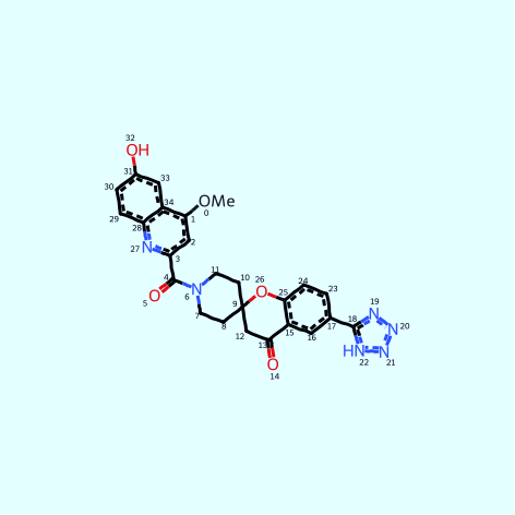 COc1cc(C(=O)N2CCC3(CC2)CC(=O)c2cc(-c4nnn[nH]4)ccc2O3)nc2ccc(O)cc12